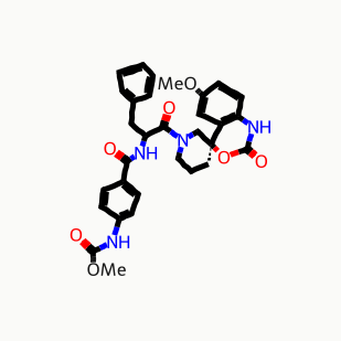 COC(=O)Nc1ccc(C(=O)NC(Cc2ccccc2)C(=O)N2CCC[C@@]3(C2)OC(=O)Nc2ccc(OC)cc23)cc1